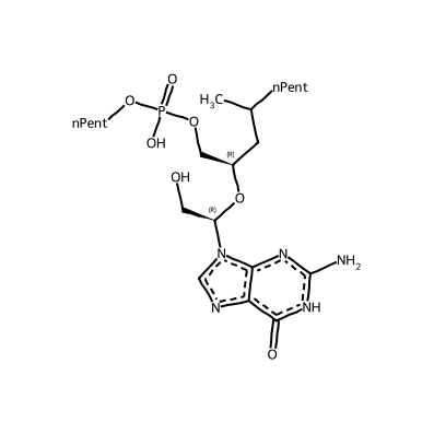 CCCCCOP(=O)(O)OC[C@@H](CC(C)CCCCC)O[C@H](CO)n1cnc2c(=O)[nH]c(N)nc21